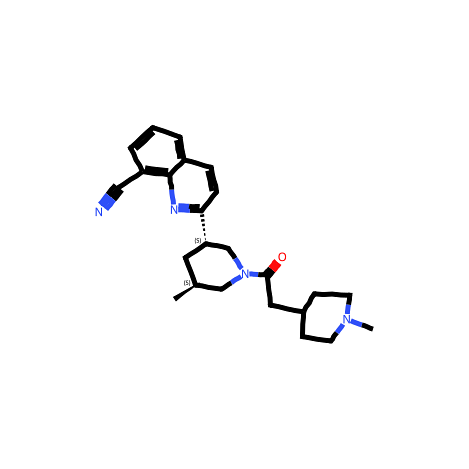 C[C@H]1C[C@H](c2ccc3cccc(C#N)c3n2)CN(C(=O)CC2CCN(C)CC2)C1